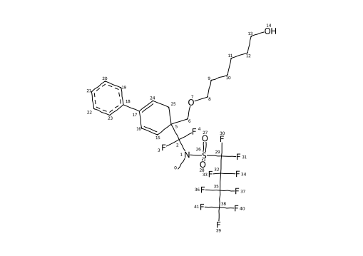 CN(C(F)(F)C1(COCCCCCCO)C=CC(c2ccccc2)=CC1)S(=O)(=O)C(F)(F)C(F)(F)C(F)(F)C(F)(F)F